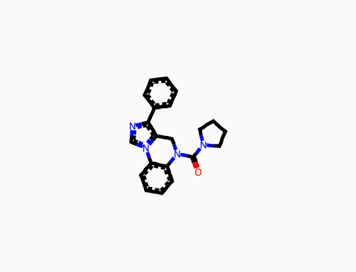 O=C(N1CCCC1)N1Cc2c(-c3ccccc3)ncn2-c2ccccc21